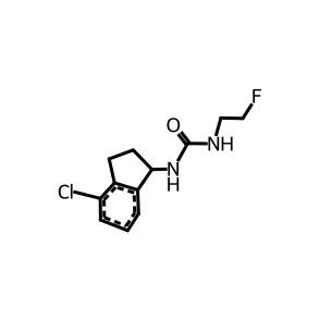 O=C(NCCF)NC1CCc2c(Cl)cccc21